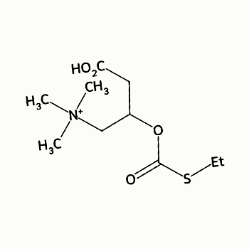 CCSC(=O)OC(CC(=O)O)C[N+](C)(C)C